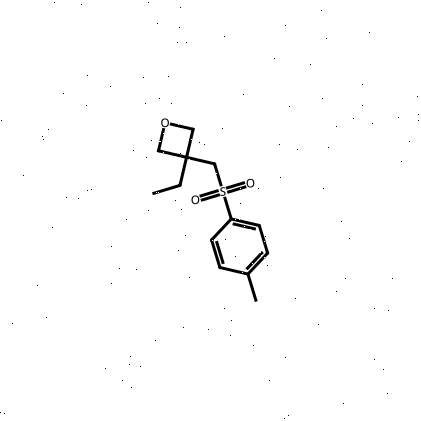 CCC1(CS(=O)(=O)c2ccc(C)cc2)COC1